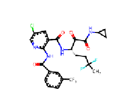 CC(F)(F)CC[C@H](NC(=O)c1cc(Cl)cnc1NC(=O)c1cccc(C(F)(F)F)c1)C(=O)C(=O)NC1CC1